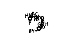 CC(=O)c1[nH]c2ccc(F)cc2c1-c1cn(C[C@H]2CCN(CCNS(=O)(=O)c3ccc(CC(C)C)cc3)C2)nn1